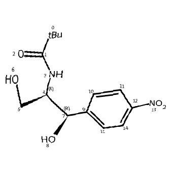 CC(C)(C)C(=O)N[C@H](CO)[C@H](O)c1ccc([N+](=O)[O-])cc1